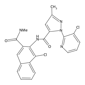 CNC(=O)c1cc2ccccc2c(Cl)c1NC(=O)c1cc(C)nn1-c1ncccc1Cl